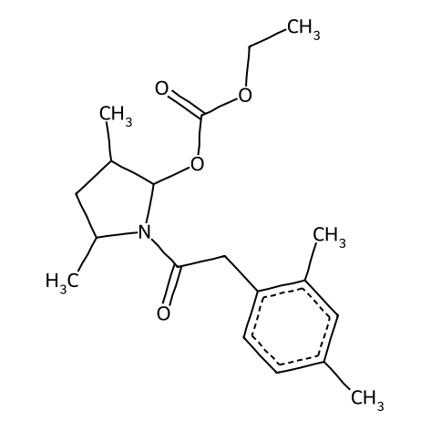 CCOC(=O)OC1C(C)CC(C)N1C(=O)Cc1ccc(C)cc1C